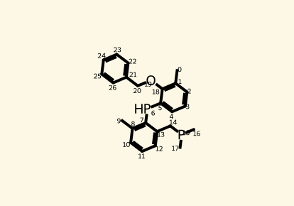 Cc1cccc(Pc2c(C)cccc2CP(C)C)c1OCc1ccccc1